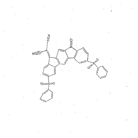 N#CC(C#N)=C1c2ccc(S(=O)(=O)c3ccccc3)cc2-c2cc3c(cc21)C(=O)c1ccc(S(=O)(=O)c2ccccc2)cc1-3